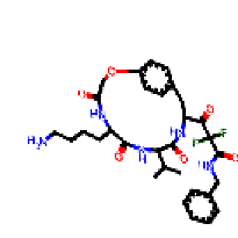 CC(C)C1NC(=O)C(CCCCN)NC(=O)COc2ccc(cc2)CC(C(=O)C(F)(F)C(=O)NCc2ccccc2)NC1=O